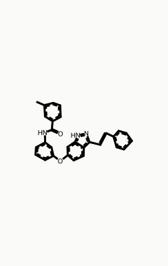 Cc1cccc(C(=O)Nc2cccc(Oc3ccc4c(C=Cc5ccccc5)n[nH]c4c3)c2)c1